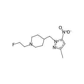 Cc1cc([N+](=O)[O-])n(CC2CCN(CCF)CC2)n1